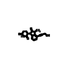 Cn1c(=O)n(C2CCC(=O)NC2=O)c2cccc(C#CCO)c21